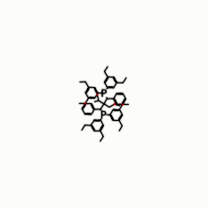 CCCC(C(C)C)(C(c1ccccc1)P(c1cc(CC)cc(CC)c1)c1cc(CC)cc(CC)c1)C(c1ccccc1)P(c1cc(CC)cc(CC)c1)c1cc(CC)cc(CC)c1